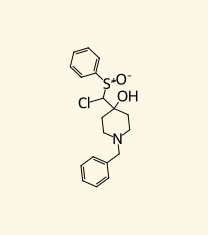 [O-][S+](c1ccccc1)C(Cl)C1(O)CCN(Cc2ccccc2)CC1